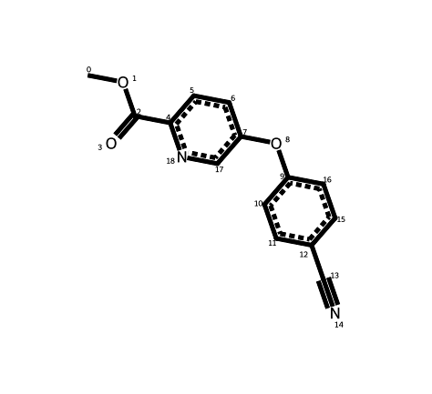 COC(=O)c1ccc(Oc2ccc(C#N)cc2)cn1